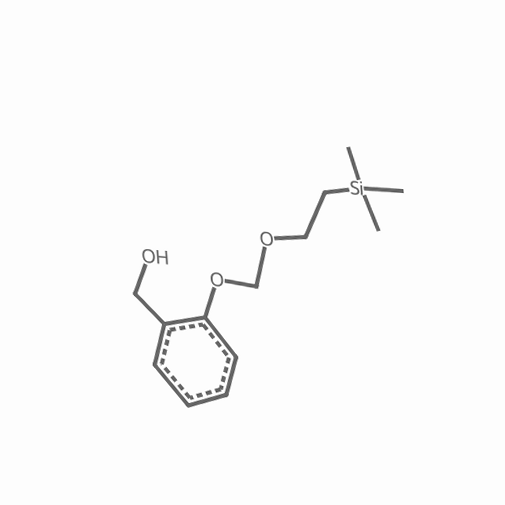 C[Si](C)(C)CCOCOc1ccccc1CO